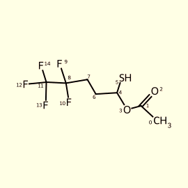 CC(=O)OC(S)CCC(F)(F)C(F)(F)F